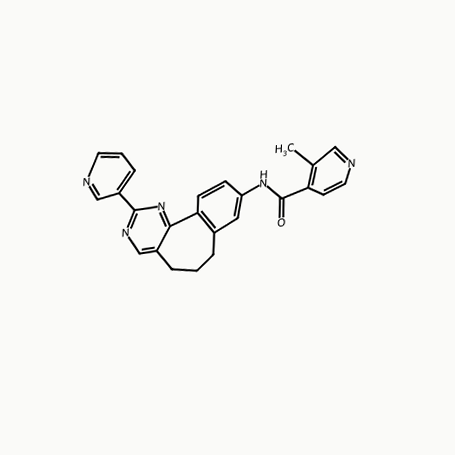 Cc1cnccc1C(=O)Nc1ccc2c(c1)CCCc1cnc(-c3cccnc3)nc1-2